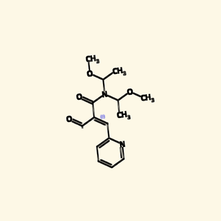 COC(C)N(C(=O)/C([C]=O)=C/c1ccccn1)C(C)OC